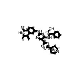 C=C1c2cc(Nc3ncc(-c4nc(C56CCN(CC5)CC6)no4)c(N[C@H](CO)c4ccccc4)n3)ccc2C(=O)NC1C